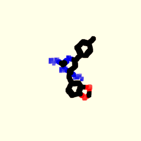 Cc1ccc(C2=CC(N)(Cc3ccc4c(c3)OCO4)NC(N)=N2)cc1